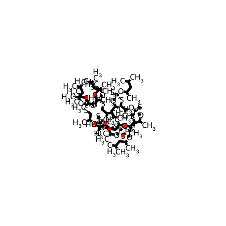 CC(C)CC(C)OP(=S)(OC(C)CC(C)C)SCC(C)OP(=S)(OC(C)CSP(=S)(OC(C)CC(C)C)OC(C)CC(C)C)SCC(C)OP(=S)(OC(C)CSP(=S)(OC(C)CSP(=S)(OC(C)CC(C)C)OC(C)CC(C)C)OC(C)CS[PH](S)(OC(C)CC(C)C)OC(C)CC(C)C)SCCC(=O)O